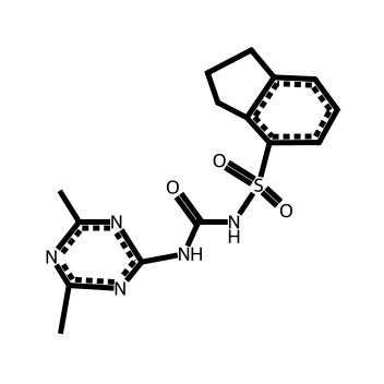 Cc1nc(C)nc(NC(=O)NS(=O)(=O)c2cccc3c2CCC3)n1